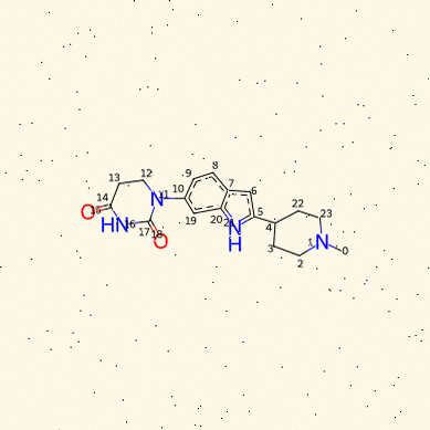 CN1CCC(c2cc3ccc(N4CCC(=O)NC4=O)cc3[nH]2)CC1